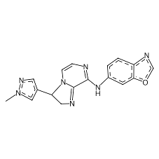 Cn1cc(C2CN=C3C(Nc4ccc5ncoc5c4)=NC=CN32)cn1